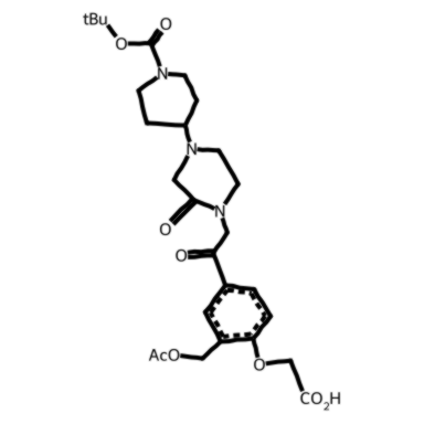 CC(=O)OCc1cc(C(=O)CN2CCN(C3CCN(C(=O)OC(C)(C)C)CC3)CC2=O)ccc1OCC(=O)O